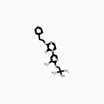 Cc1cc(-n2ccnc(SCCc3ccccc3)c2=O)cnc1OCC(C)(C)O